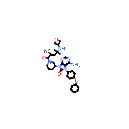 CC(C)(C=C(C#N)C(=O)N1CCC[C@H](n2c(=O)n(-c3ccc(Oc4ccccc4)cc3)c3c(N)ncnc32)C1)NC1COC1